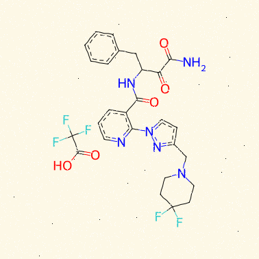 NC(=O)C(=O)C(Cc1ccccc1)NC(=O)c1cccnc1-n1ccc(CN2CCC(F)(F)CC2)n1.O=C(O)C(F)(F)F